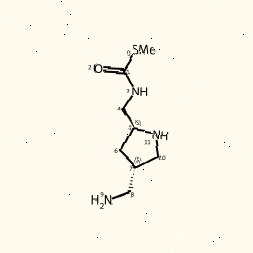 CSC(=O)NC[C@@H]1C[C@@H](CN)CN1